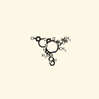 CO[C@]1(CN2CCN3CCCC[C@@H]3C2)/C=C/C[C@H](C)[C@@H](CCOS(C)(=O)=O)S(=O)(=O)NC(=O)c2ccc3c(c2)N(CCCCc2cc(Cl)ccc2CO3)C[C@@H]2CC[C@H]21